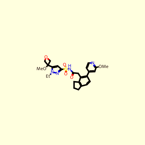 CCn1nc(S(=O)(=O)NC(=O)Cc2c(-c3ccnc(OC)c3)ccc3c2CCC3)cc1C1(OC)COC1